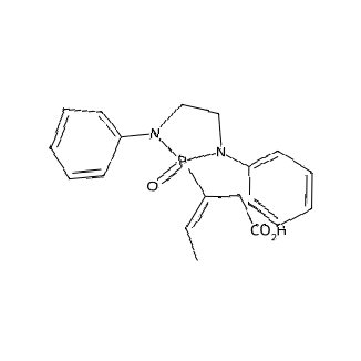 C/C=C(\CC(=O)O)P1(=O)N(c2ccccc2)CCN1c1ccccc1